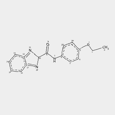 CCOc1ccc(NC(=O)C2N=c3ccccc3=N2)cc1